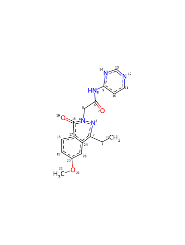 CCc1nn(CC(=O)Nc2ccncn2)c(=O)c2ccc(OC)cc12